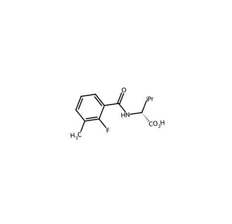 Cc1cccc(C(=O)N[C@@H](C(=O)O)C(C)C)c1F